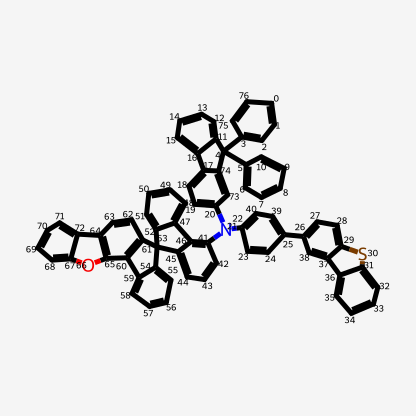 c1ccc(C2(c3ccccc3)c3ccccc3-c3ccc(N(c4ccc(-c5ccc6sc7ccccc7c6c5)cc4)c4cccc5c4-c4ccccc4C54c5ccccc5-c5c4ccc4c5oc5ccccc54)cc32)cc1